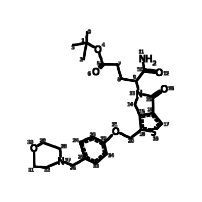 CC(C)(C)OC(=O)CCC(C(N)=O)N1Cc2c(csc2COc2ccc(CN3CCOCC3)cc2)C1=O